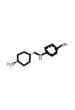 CCCc1ccc(NC[C@H]2CC[C@H](N)CC2)cc1